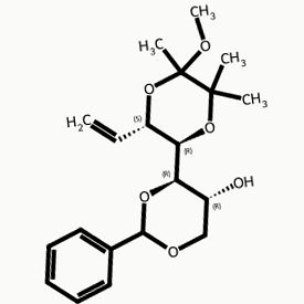 C=C[C@@H]1OC(C)(OC)C(C)(C)O[C@H]1[C@@H]1OC(c2ccccc2)OC[C@H]1O